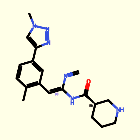 C=N/C(=C\c1cc(-c2cn(C)nn2)ccc1C)NC(=O)[C@@H]1CCCNC1